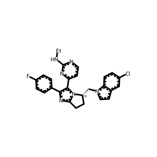 CCNc1nccc(-c2c(-c3ccc(F)cc3)nc3n2[C@H](Cn2ccc4cc(Cl)ccc42)CC3)n1